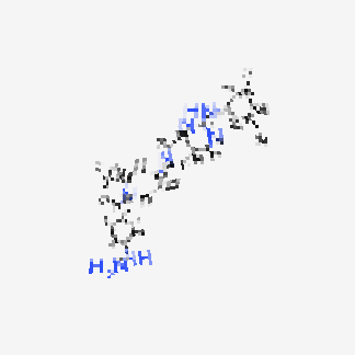 C=C(c1ccc(NN)cc1)N1CCC(N2Cc3cnc(Nc4cc(C)cc(C)c4)nc3C2)CC1C(F)(F)F